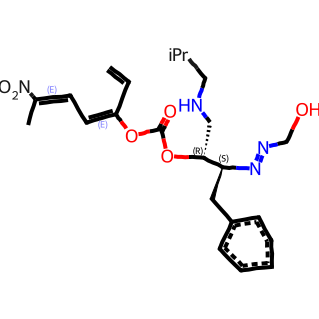 C=C/C(=C\C=C(/C)[N+](=O)[O-])OC(=O)O[C@H](CNCC(C)C)[C@H](Cc1ccccc1)N=NCO